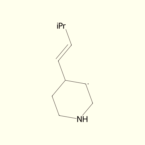 CC(C)C=CC1[CH]CNCC1